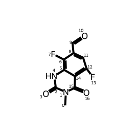 Cn1c(=O)[nH]c2c(F)c(C=O)cc(F)c2c1=O